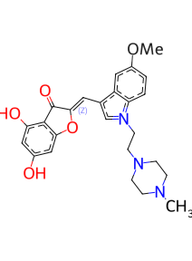 COc1ccc2c(c1)c(/C=C1\Oc3cc(O)cc(O)c3C1=O)cn2CCN1CCN(C)CC1